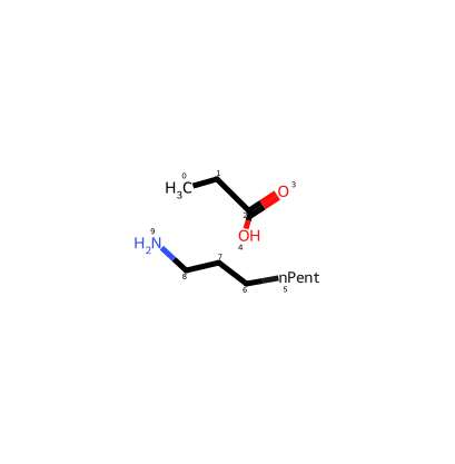 CCC(=O)O.CCCCCCCCN